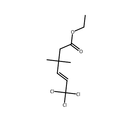 CCOC(=O)CC(C)(C)C=CC(Cl)(Cl)Cl